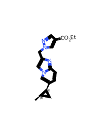 CCOC(=O)c1cnn(Cc2cn3cc([C@H]4C[C@H]4C)ccc3n2)c1